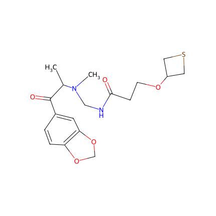 CC(C(=O)c1ccc2c(c1)OCO2)N(C)CNC(=O)CCOC1CSC1